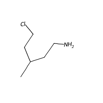 CC(CCN)CCCl